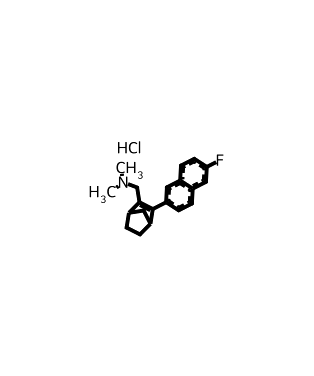 CN(C)CC1=C(c2ccc3cc(F)ccc3c2)C2CCC1C2.Cl